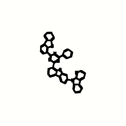 c1ccc(-c2nc(-c3cccc4c3sc3ccccc34)nc(-c3cccc4c3sc3cc(-n5c6ccccc6c6cccnc65)ccc34)n2)cc1